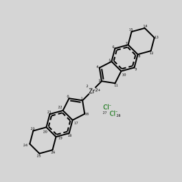 C1=[C]([Zr+2][C]2=Cc3cc4c(cc3C2)CCCC4)Cc2cc3c(cc21)CCCC3.[Cl-].[Cl-]